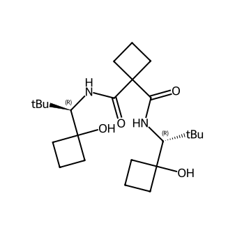 CC(C)(C)[C@@H](NC(=O)C1(C(=O)N[C@H](C(C)(C)C)C2(O)CCC2)CCC1)C1(O)CCC1